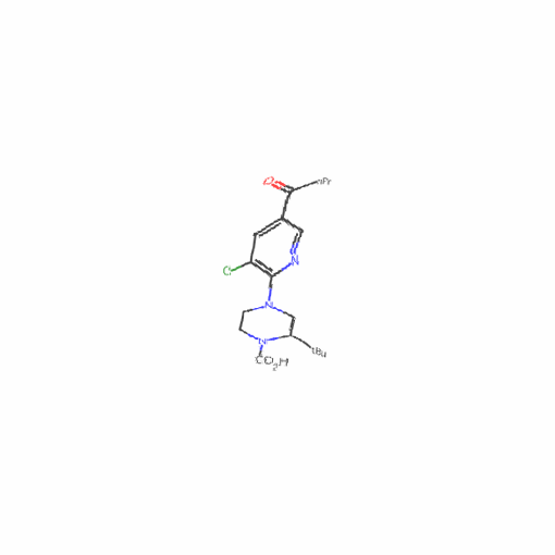 CCCC(=O)c1cnc(N2CCN(C(=O)O)C(C(C)(C)C)C2)c(Cl)c1